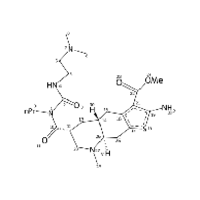 CCCN(C(=O)NCCN(C)C)C(=O)[C@@H]1C[C@@H]2Cc3c(sc(N)c3C(=O)OC)C[C@H]2N(C)C1